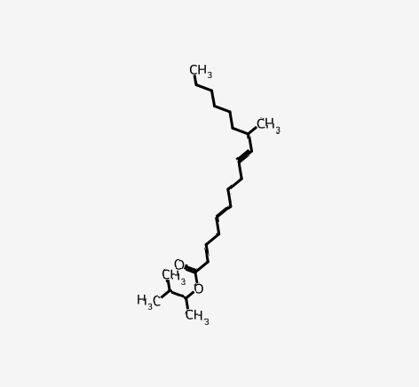 CCCCCCC(C)/C=C/CCCCCCCC(=O)OC(C)C(C)C